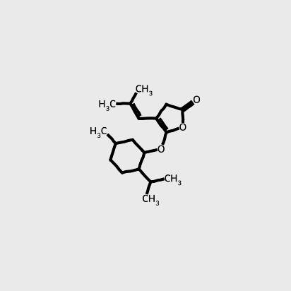 CC(C)=CC1=C(OC2CC(C)CCC2C(C)C)OC(=O)C1